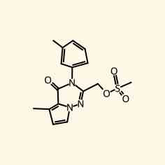 Cc1cccc(-n2c(COS(C)(=O)=O)nn3ccc(C)c3c2=O)c1